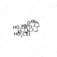 CCC1[C@](CC)(C(=O)O)N(Cc2ccc3ccccc3c2)C[C@@]1(NC(=O)OC(C)(C)C)C(=O)O